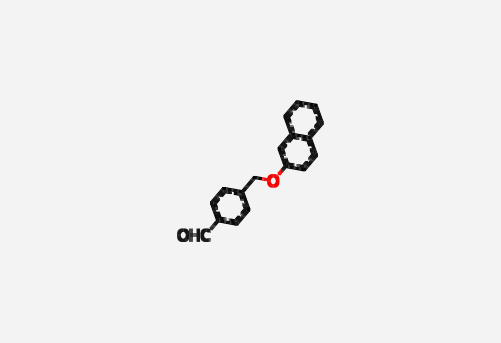 O=Cc1ccc(COc2ccc3ccccc3c2)cc1